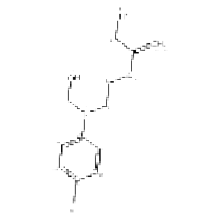 C=C(CC(C)C)OCCN(CO)c1ccc(F)cc1